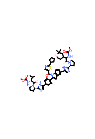 COC(=O)NC(C(=O)N1CCC[C@H]1c1ncc(-c2ccc3c(c2)cc2n3C(c3cnc(C4CCCC4)s3)Oc3cc(-c4cnc([C@@H]5CCCN5C(=O)[C@@H](NC(=O)OC)C(C)C)[nH]4)cc(F)c3-2)[nH]1)C1CCOC(C)(C)C1